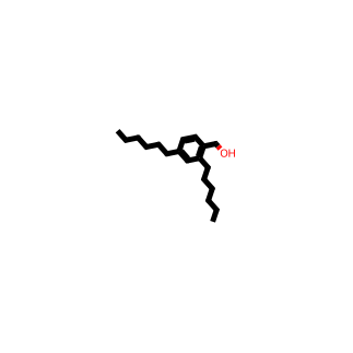 CCCCCCc1ccc(CO)c(CCCCCC)c1